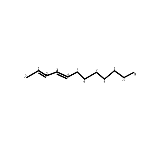 [CH2]/C=C/C=C/CCCCCCC